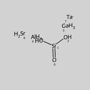 O=[Si](O)O.[AlH3].[GaH3].[SrH2].[Ta]